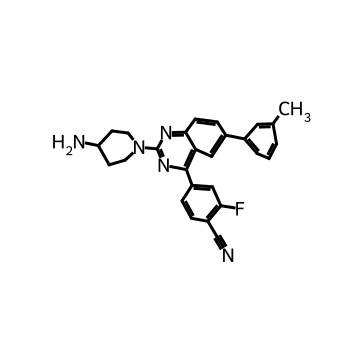 Cc1cccc(-c2ccc3nc(N4CCC(N)CC4)nc(-c4ccc(C#N)c(F)c4)c3c2)c1